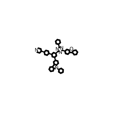 c1ccc(-c2nc(-c3cc(-c4ccc(-c5ccncc5)cc4)cc(-c4ccc5c(c4)c4ccccc4n5-c4ccccc4)c3)nc(-c3ccc4c(c3)oc3ccccc34)n2)cc1